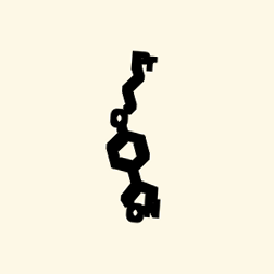 CC(C)CCCOc1ccc(-c2cnoc2)cc1